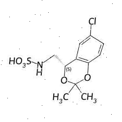 CC1(C)Oc2ccc(Cl)cc2[C@@H](CNS(=O)(=O)O)O1